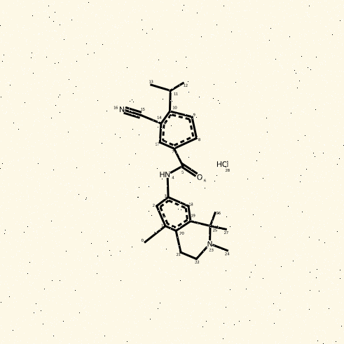 Cc1cc(NC(=O)c2ccc(C(C)C)c(C#N)c2)cc2c1CCN(C)C2(C)C.Cl